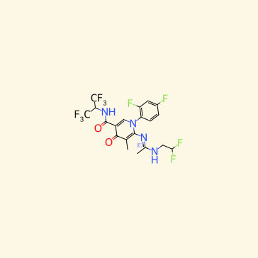 C/C(=N\c1c(C)c(=O)c(C(=O)NC(C(F)(F)F)C(F)(F)F)cn1-c1ccc(F)cc1F)NCC(F)F